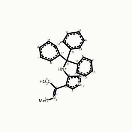 CO/N=C(\C(=O)O)c1csnc1NC(c1ccccc1)(c1ccccc1)c1ccccc1